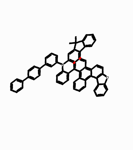 CC1(C)c2ccccc2-c2ccc(N(c3cccc(-c4ccc(-c5ccccc5)cc4)c3)c3ccccc3-c3cccc4c5ccc6oc7ccccc7c6c5c5ccccc5c34)cc21